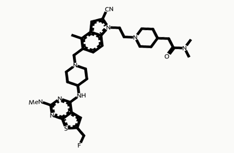 CNc1nc(NC2CCN(Cc3ccc4c(cc(C#N)n4CCN4CCC(CC(=O)N(C)C)CC4)c3C)CC2)c2cc(CF)sc2n1